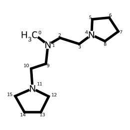 CN(CCN1CCCC1)CCN1CCCC1